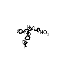 O=[N+]([O-])c1ccc(COc2cnc3cc(N4CCOCC4)nc(O[C@H]4CC[C@@H](n5cc(F)cn5)CC4)c3c2)s1